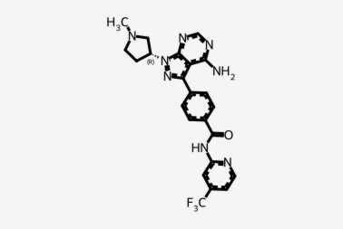 CN1CC[C@@H](n2nc(-c3ccc(C(=O)Nc4cc(C(F)(F)F)ccn4)cc3)c3c(N)ncnc32)C1